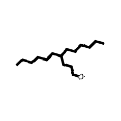 CCCCCCC(CCC[O])CCCCCC